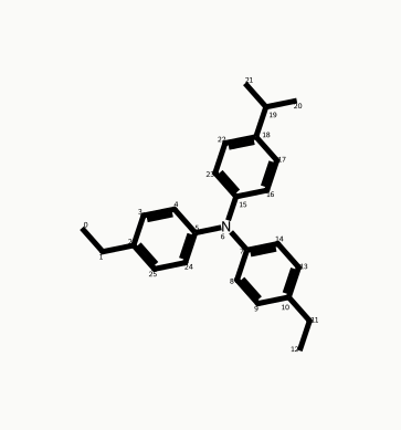 CCc1ccc(N(c2ccc(CC)cc2)c2ccc(C(C)C)cc2)cc1